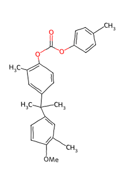 COc1ccc(C(C)(C)c2ccc(OC(=O)Oc3ccc(C)cc3)c(C)c2)cc1C